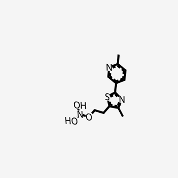 Cc1ccc(-c2nc(C)c(CCON(O)O)s2)cn1